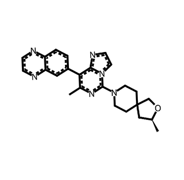 Cc1nc(N2CCC3(CC2)CO[C@@H](C)C3)n2ccnc2c1-c1ccc2nccnc2c1